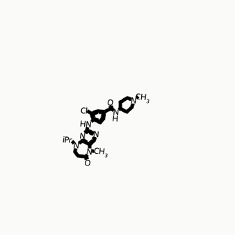 CC(C)N1CCC(=O)N(C)c2cnc(Nc3ccc(C(=O)NC4CCN(C)CC4)cc3Cl)nc21